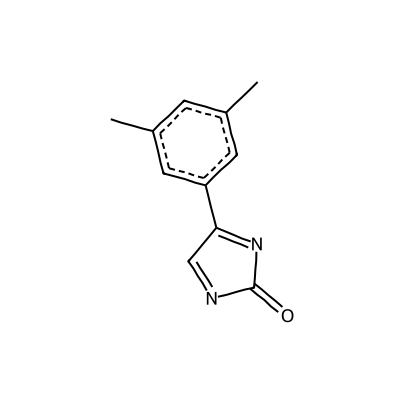 Cc1cc(C)cc(C2=NC(=O)N=C2)c1